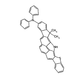 CC1(C)c2ccc(N(c3ccccc3)c3ccccc3)cc2-c2cc3ccc4cc5c6ccccc6sc5c5[nH]c(c21)c3c45